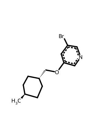 C[C@H]1CC[C@H](COc2cncc(Br)c2)CC1